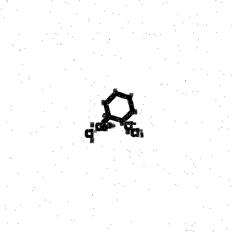 [Cl-].[Cl-].[Cl-].[Ge+3][CH]1CCCCC1